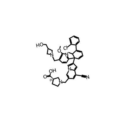 COc1nc(C2(c3cc4c(C#N)cc(CN5CC[C@@H](C(=O)O)C5)cn4c3)C=CC=C(c3ccccc3Cl)C2C)ccc1CN1CC(CO)C1